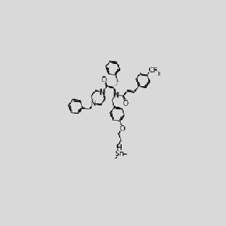 [CH3][SnH]([CH3])[CH2]CCOc1ccc(CN(C(=O)C=Cc2ccc(C(F)(F)F)cc2)[C@@H](Cc2ccccc2)C(=O)N2CCN(Cc3ccccc3)CC2)cc1